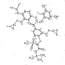 CC(C)(C)OC(=O)N(Cc1ccc(C(=O)O[C@@H](Cc2c(Cl)c[n+](O)cc2Cl)c2ccc(OC(F)F)c(OCC3CC3)c2)cc1OCC1CC1)S(C)(=O)=O